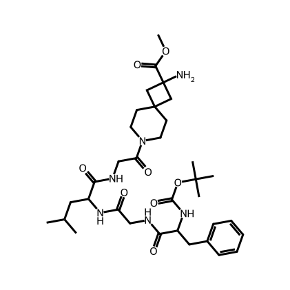 COC(=O)C1(N)CC2(CCN(C(=O)CNC(=O)C(CC(C)C)NC(=O)CNC(=O)C(Cc3ccccc3)NC(=O)OC(C)(C)C)CC2)C1